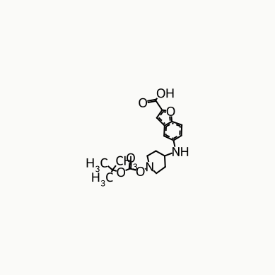 CC(C)(C)OC(=O)ON1CCC(Nc2ccc3oc(C(=O)O)cc3c2)CC1